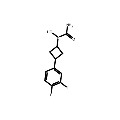 NC(=O)N(O)C1CC(c2ccc(F)c(F)c2)C1